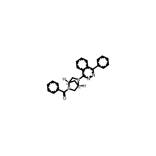 O=C(c1ccccc1)N1C[C@@H]2C[C@H]1CN2c1nnc(-c2ccccc2)c2ccccc12